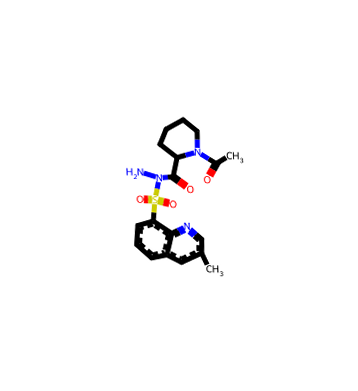 CC(=O)N1CCCCC1C(=O)N(N)S(=O)(=O)c1cccc2cc(C)cnc12